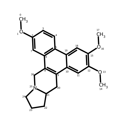 COc1ccc2c(c1)c1c(c3cc(OC)c(OC)cc32)CC2CCCN2C1